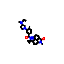 Cc1ccc(C(=O)NC2(c3ccc4c5c(cccc35)C(=O)N4C)CC2)cc1N1CC[C@H](N(C)C(C)C)C1